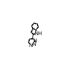 c1ccc2[nH]c(-c3ccnnn3)cc2c1